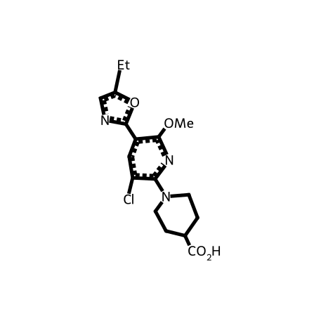 CCc1cnc(-c2cc(Cl)c(N3CCC(C(=O)O)CC3)nc2OC)o1